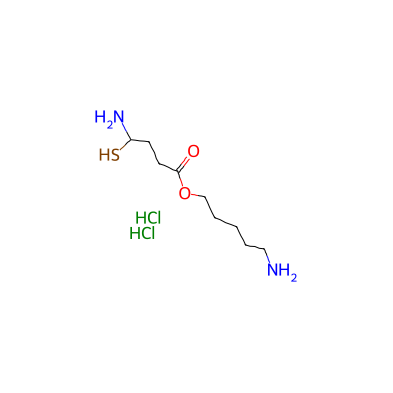 Cl.Cl.NCCCCCOC(=O)CCC(N)S